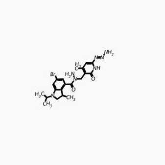 Cc1cc(N=NN)[nH]c(=O)c1CN(N)C(=O)c1cc(Br)cc2c1C(C)CN2C(C)C